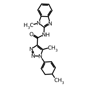 Cc1c(C(=O)Nc2nc3ccccc3n2C)nnn1C1=CCC(C)C=C1